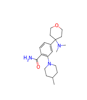 CC1CCN(c2cc(C3(N(C)C)CCOCC3)ccc2C(N)=O)CC1